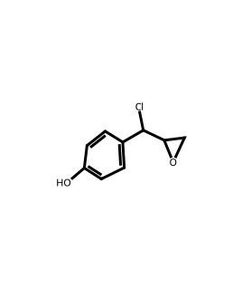 Oc1ccc(C(Cl)C2CO2)cc1